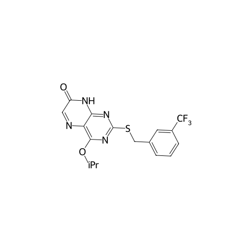 CC(C)Oc1nc(SCc2cccc(C(F)(F)F)c2)nc2[nH]c(=O)cnc12